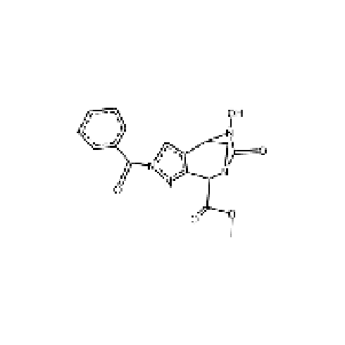 COC(=O)C1c2nn(C(=O)c3ccccc3)cc2C2CN1C(=O)N2O